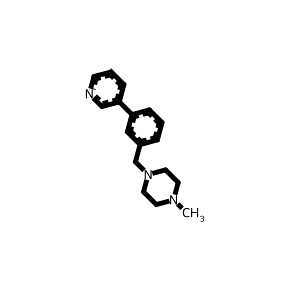 CN1CCN(Cc2cccc(-c3c[c]cnc3)c2)CC1